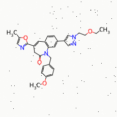 CCOCCn1cc(-c2ccc3c(c2)N(Cc2ccc(OC)cc2)C(=O)CC(c2ncc(C)o2)=C3)cn1